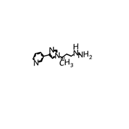 C[C@H](CCNN)n1cnc(-c2cccnc2)c1